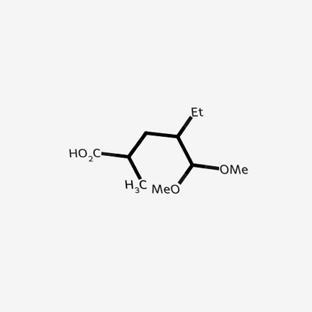 CCC(CC(C)C(=O)O)C(OC)OC